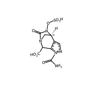 NC(=O)n1ncc2c1C(C(=O)O)N1C[C@H]2N(OS(=O)(=O)O)C1=O